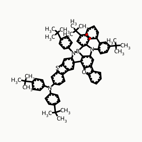 CC(C)(C)c1ccc(N2B3c4cc(C(C)(C)C)ccc4N(c4ccc(C(C)(C)C)cc4-c4ccccc4)c4cc5c(oc6ccccc65)c(c43)-c3cc4c(cc32)sc2cc(N(c3ccc(C(C)(C)C)cc3)c3ccc(C(C)(C)C)cc3)ccc24)cc1